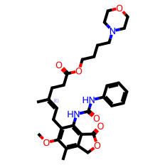 COc1c(C)c2c(c(NC(=O)Nc3ccccc3)c1C/C=C(\C)CCC(=O)OCCCCN1CCOCC1)C(=O)OC2